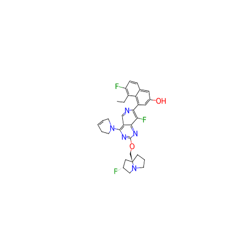 CCc1c(F)ccc2cc(O)cc(-c3ncc4c(N5CC=CCC5)nc(OC[C@@]56CCCN5C[C@H](F)C6)nc4c3F)c12